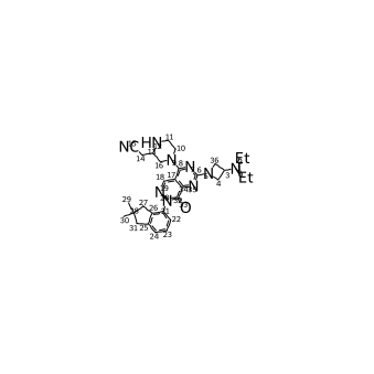 CCN(CC)C1CN(c2nc(N3CCNC(CC#N)C3)c3cnn(-c4cccc5c4CC(C)(C)C5)c(=O)c3n2)C1